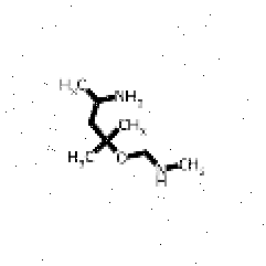 CNCOC(C)(C)CC(C)N